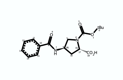 CC(C)(C)OC(=O)N1C[C@H](NC(=O)c2ccccc2)C[C@H]1C(=O)O